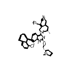 C[C@H]1Cc2cncc(F)c2CN1c1nc(OC[C@@H]2CCCN2C)nc2cc(-c3cccc4cccc(Cl)c34)ccc12